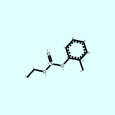 CCOS(=O)Oc1ccccc1C